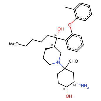 COCCCC[C@@](O)(c1ccccc1Oc1ccccc1C)[C@@H]1CCCN(C2(C=O)CC[C@@H](O)[C@@H](N)C2)C1